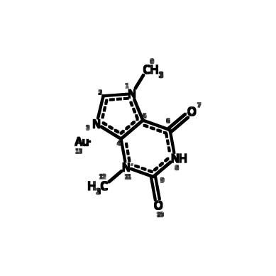 Cn1cnc2c1c(=O)[nH]c(=O)n2C.[Au]